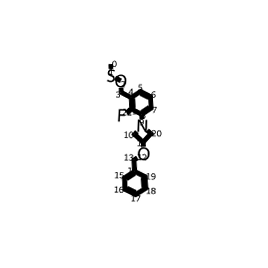 CSOCc1cccc(N2CC(OCc3ccccc3)C2)c1F